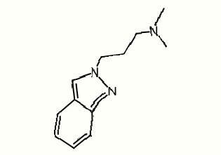 CN(C)CCCn1cc2ccccc2n1